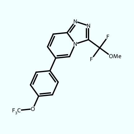 COC(F)(F)c1nnc2ccc(-c3ccc(OC(F)(F)F)cc3)cn12